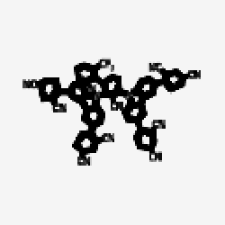 N#Cc1ccc(-c2ccc3c(c2)c2cc(-c4ccc(C#N)cc4C#N)ccc2n3-c2ccc(-c3c(C#N)cccc3C(F)(F)F)c(-n3c4ccc(-c5ccc(C#N)cc5C#N)cc4c4cc(-c5ccc(C#N)cc5C#N)ccc43)c2C#N)c(C#N)c1